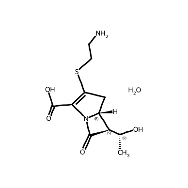 C[C@@H](O)[C@H]1C(=O)N2C(C(=O)O)=C(SCCN)C[C@H]12.O